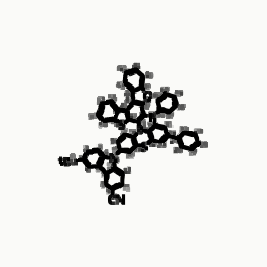 CC(C)(C)c1ccc2c(c1)c1cc(C#N)ccc1n2-c1ccc2c(c1)Sc1cc(-c3ccccc3)cc3c1B2c1c(c2oc4ccccc4c2c2c1sc1ccccc12)N3c1ccccc1